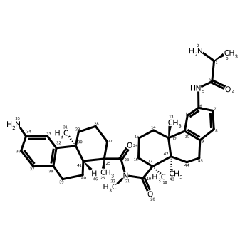 C[C@H](N)C(=O)Nc1ccc2c(c1)[C@@]1(C)CCC[C@](C)(C(=O)N(C)C(=O)[C@@]3(C)CCC[C@]4(C)c5cc(N)ccc5CC[C@@H]34)[C@]1(C)CC2